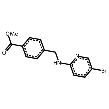 COC(=O)c1ccc(CNc2ccc(Br)cn2)cc1